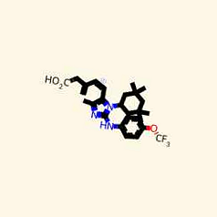 C=C(/C=C\c1c(C)nc(Nc2ccc(OC(F)(F)F)cc2)n1C1CC(C)(C)CC(C)(C)C1)CC(=O)O